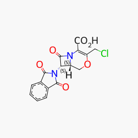 O=C(O)C1=C(CCl)OC[C@@H]2[C@H](N3C(=O)c4ccccc4C3=O)C(=O)N12